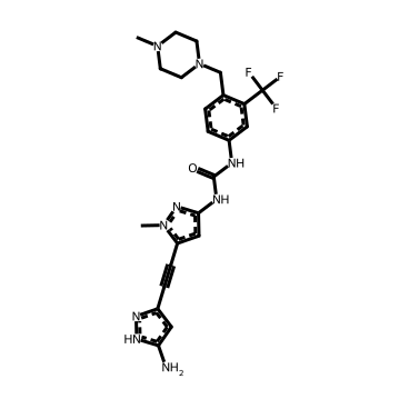 CN1CCN(Cc2ccc(NC(=O)Nc3cc(C#Cc4cc(N)[nH]n4)n(C)n3)cc2C(F)(F)F)CC1